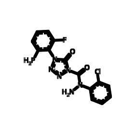 NN(C(=O)n1nnn(-c2c(F)cccc2P)c1=O)c1ccccc1Cl